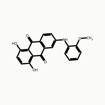 COc1ccccc1Nc1ccc2c(c1)C(=O)c1c(O)ccc(O)c1C2=O